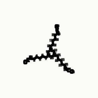 O=C=NCCCCCN1CN(CCCCCN=C=O)CN(CCCCCN=C=O)C1